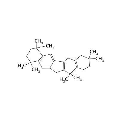 CC1(C)CCC2=C(CC3=C(Cc4cc5c(cc43)C(C)(C)CCC5(C)C)C2(C)C)C1